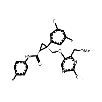 COCc1nc(C)ncc1OC[C@@]1(c2cc(F)cc(F)c2)C[C@H]1C(=O)Nc1ccc(F)cc1